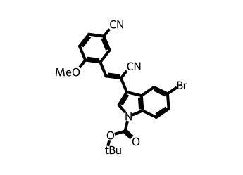 COc1ccc(C#N)cc1/C=C(\C#N)c1cn(C(=O)OC(C)(C)C)c2ccc(Br)cc12